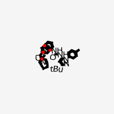 Cc1ccc(-n2nc(C(C)(C)C)cc2NC(=O)Nc2cccc(CC3CC4CCC(C3)N4C(=O)COc3ccccc3)c2)cc1